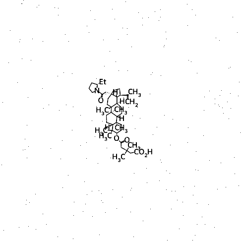 C=C(C)[C@@H]1CC[C@]2(CC(=O)N3CCC[C@@H]3CC)CC[C@]3(C)[C@H](CC[C@@H]4[C@@]5(C)CC[C@H](OC(=O)CC(C)(C)CC(=O)O)C(C)(C)[C@@H]5CC[C@]43C)[C@@H]12